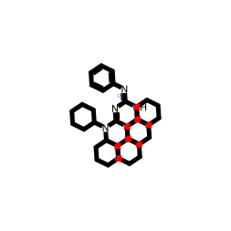 c1ccc(/N=C(\N=C(N(C2CCCCC2)C2CCCCC2)N(C2CCCCC2)C2CCCCC2)NC2CCCCC2)cc1